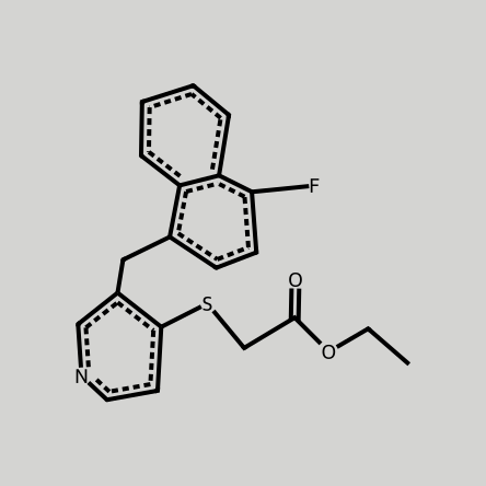 CCOC(=O)CSc1ccncc1Cc1ccc(F)c2ccccc12